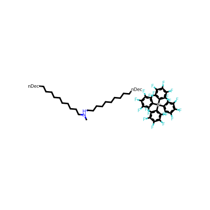 CCCCCCCCCCCCCCCCCCCC[NH+](C)CCCCCCCCCCCCCCCCCCCC.Fc1c(F)c(F)c([B-](c2c(F)c(F)c(F)c(F)c2F)(c2c(F)c(F)c(F)c(F)c2F)c2c(F)c(F)c(F)c(F)c2F)c(F)c1F